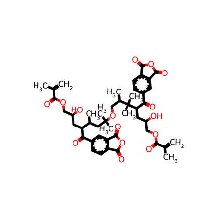 C=C(C)C(=O)OCC(O)CC(C(=O)c1ccc2c(c1)C(=O)OC2=O)C(C)CC(C)(C)OCC(C)C(C)(C)C(CC(O)COC(=O)C(=C)C)C(=O)c1ccc2c(c1)C(=O)OC2=O